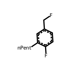 CCCCCc1cc(CF)ccc1F